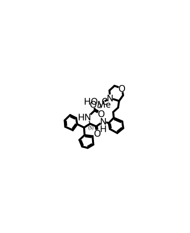 COC(=O)N[C@H](C(=O)Nc1ccccc1CCC1COCCN1C(=O)O)C(c1ccccc1)c1ccccc1